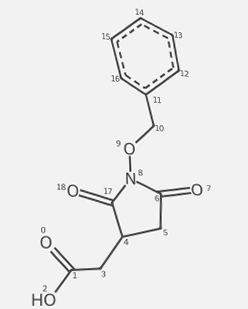 O=C(O)CC1CC(=O)N(OCc2ccccc2)C1=O